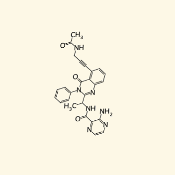 CC(=O)NCC#Cc1cccc2nc(C(C)NC(=O)c3nccnc3N)n(-c3ccccc3)c(=O)c12